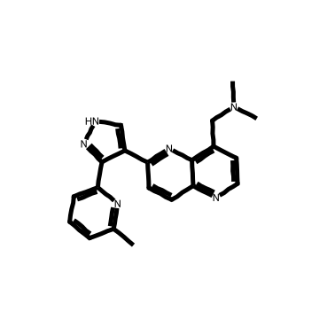 Cc1cccc(-c2n[nH]cc2-c2ccc3nccc(CN(C)C)c3n2)n1